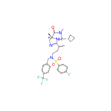 C=C(CCN(Cc1ccc(C(F)(F)F)cc1)S(=O)(=O)c1ccc(F)cc1)C1=NC[C@](C)(C(=O)N(C)CC2CCC2)N1